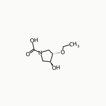 CCO[C@H]1CN(C(=O)O)C[C@@H]1O